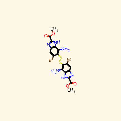 COC(=O)c1nc2cc(Br)c(SSc3c(Br)cc4nc(C(=O)OC)[nH]c4c3N)c(N)c2[nH]1